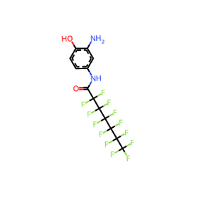 Nc1cc(NC(=O)C(F)(F)C(F)(F)C(F)(F)C(F)(F)C(F)(F)C(F)(F)F)ccc1O